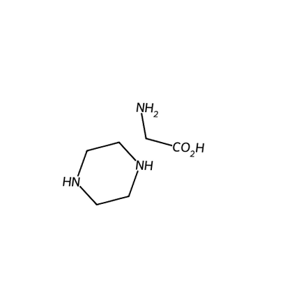 C1CNCCN1.NCC(=O)O